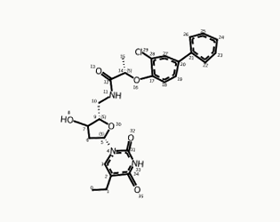 CCc1cn([C@@H]2CC(O)[C@H](CNC(=O)[C@H](C)Oc3ccc(-c4ccccc4)cc3Cl)O2)c(=O)[nH]c1=O